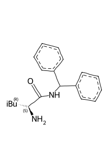 CC[C@@H](C)[C@H](N)C(=O)NC(c1ccccc1)c1ccccc1